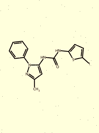 Cc1cc(NC(=O)Nc2ccc(I)s2)n(-c2ccccc2)n1